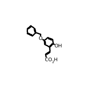 O=C(O)C=Cc1cc(OCc2ccccc2)ccc1O